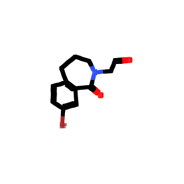 O=CCN1CCCc2ccc(Br)cc2C1=O